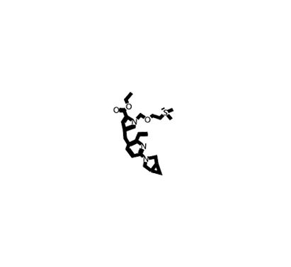 C=Cc1nc(N2CC3CC3C2)ccc1Cc1cc(C(=O)OCC)n(COCCS(C)(C)C)c1